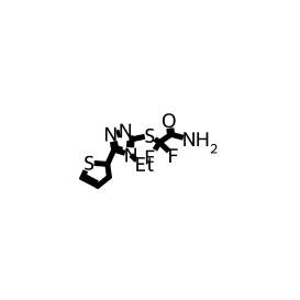 CCn1c(SC(F)(F)C(N)=O)nnc1C1CC=CS1